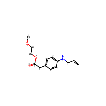 C=CCNc1ccc(CC(=O)OCCOCC)cc1